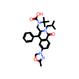 CC1=NN(c2ccc3c(=O)n(CC(C)C)c(CN(C(=O)O)C(C)(C)C)c(-c4ccccc4)c3c2)CO1